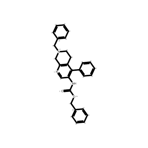 O=C(Nc1cnc2c(c1-c1ccccc1)CCN(Cc1ccccc1)C2)OCc1ccccc1